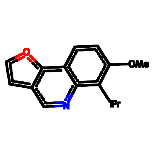 COc1ccc2c(ncc3ccoc32)c1C(C)C